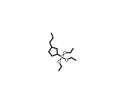 CCCC1CCC([Si](OCC)(OCC)OCC)C1